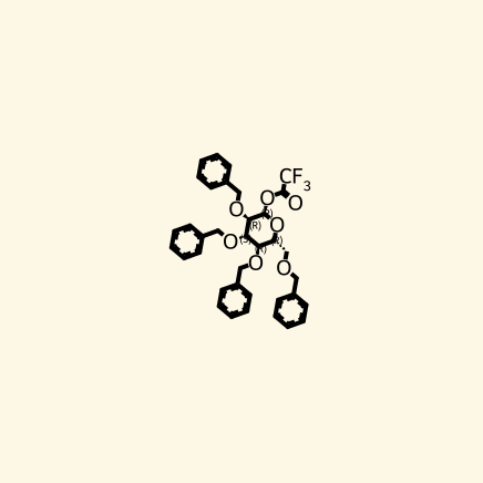 O=C(O[C@H]1O[C@H](COCc2ccccc2)[C@@H](OCc2ccccc2)[C@H](OCc2ccccc2)[C@H]1OCc1ccccc1)C(F)(F)F